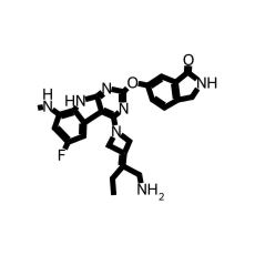 CCC(CN)=C1CN(c2nc(Oc3ccc4c(c3)C(=O)NC4)nc3[nH]c4c(NC)cc(F)cc4c23)C1